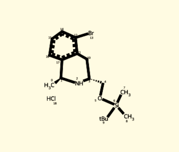 C[C@@H]1N[C@@H](CO[Si](C)(C)C(C)(C)C)Cc2c(Br)cccc21.Cl